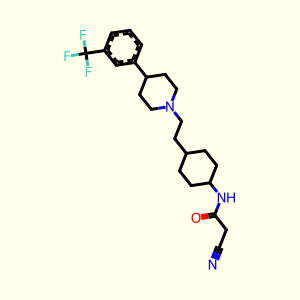 N#CCC(=O)NC1CCC(CCN2CCC(c3cccc(C(F)(F)F)c3)CC2)CC1